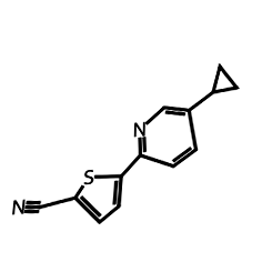 N#Cc1ccc(-c2ccc(C3CC3)cn2)s1